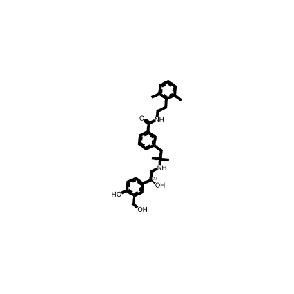 Cc1cccc(C)c1CCNC(=O)c1cccc(CC(C)(C)NC[C@@H](O)c2ccc(O)c(CO)c2)c1